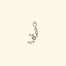 COc1cc(SN2CC3(C2)CN(C2CCOCC2)C3)n(C)n1